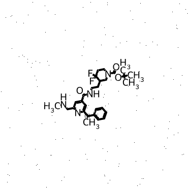 CNCc1cc(C(=O)NCCC2CN(C(=O)OC(C)(C)C)CCC2(F)F)cc([C@@H](C)c2ccccc2)n1